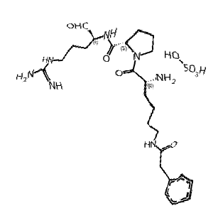 N=C(N)NCCC[C@@H](C=O)NC(=O)[C@@H]1CCCN1C(=O)[C@H](N)CCCCNC(=O)Cc1ccccc1.O=S(=O)(O)O